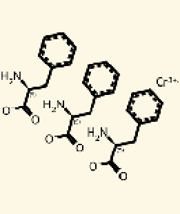 N[C@@H](Cc1ccccc1)C(=O)[O-].N[C@@H](Cc1ccccc1)C(=O)[O-].N[C@@H](Cc1ccccc1)C(=O)[O-].[Cr+3]